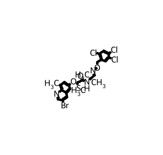 CSC(Oc1cc(C)c2ncc(Br)cc2c1)C(=O)NC(C)(C)C=NOCc1cc(Cl)c(Cl)cc1Cl